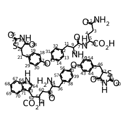 NC(=O)CCC(NC(=O)C(N)Cc1ccc(Oc2ccc(CC3SC(=O)NC3=O)cc2)cc1)C(=O)O.NC(Cc1ccc(Oc2ccc(CC3SC(=O)NC3=O)cc2)cc1)C(=O)CC(Cc1c[nH]c2ccccc12)C(=O)O